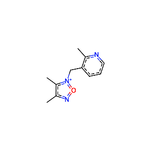 Cc1ncccc1C[n+]1onc(C)c1C